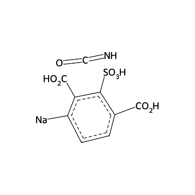 N=C=O.O=C(O)c1cc[c]([Na])c(C(=O)O)c1S(=O)(=O)O